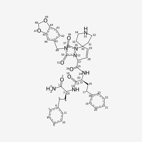 NC(=O)[C@H](CCc1ccccc1)NC(=O)[C@H](CCc1ccccc1)NC(=O)C1C=CC2(CCNCC2)n2c(=O)n(Cc3ccc4c(c3)OCO4)c(=O)n21